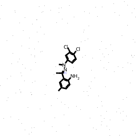 C/C(=N\N(C)c1ccc(Cl)c(Cl)c1)c1cc(C)ccc1N